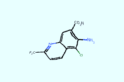 Nc1c(C(=O)O)cc2nc(C(F)(F)F)ccc2c1Cl